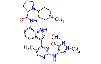 COc1nn(C)cc1Nc1ncc(C)c(-c2c[nH]c3c(NC(=O)C4CCCN4C4CCN(C)CC4)cccc23)n1